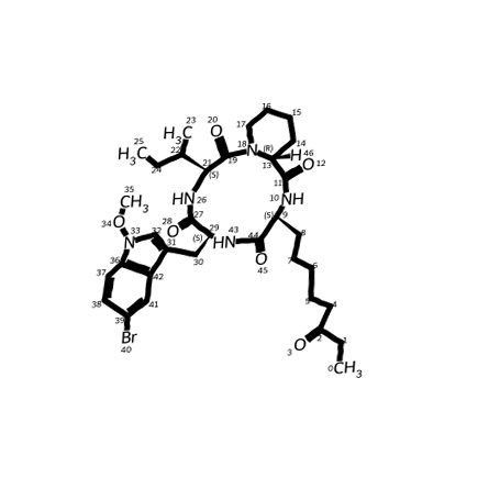 CCC(=O)CCCCC[C@@H]1NC(=O)[C@H]2CCCCN2C(=O)[C@H](C(C)CC)NC(=O)[C@H](Cc2cn(OC)c3ccc(Br)cc23)NC1=O